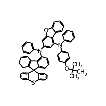 CC(C)(C)Oc1ccc(N(c2ccccc2)c2cc(N(c3ccccc3)c3cccc4c3C3=C(CCC=C3)C43c4ccccc4Sc4ccccc43)cc3oc4ccccc4c23)cc1